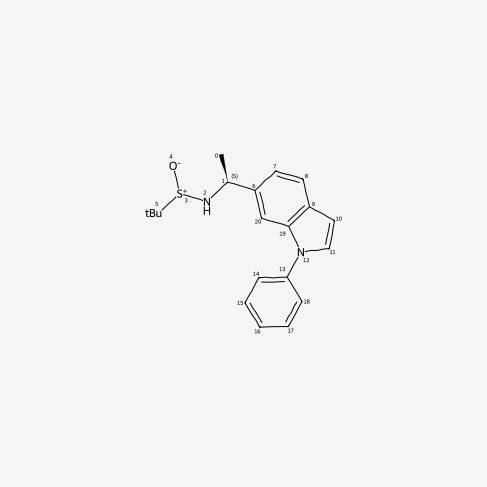 C[C@H](N[S+]([O-])C(C)(C)C)c1ccc2ccn(-c3ccccc3)c2c1